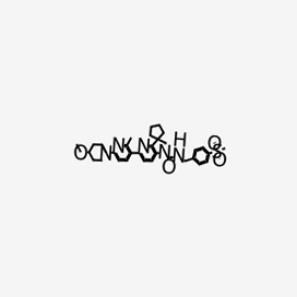 COC1CCN(c2ccc(-c3ccc4c(n3)C3(CCCC3)CN4C(=O)NCc3ccc(S(C)(=O)=O)cc3)c(C)n2)CC1